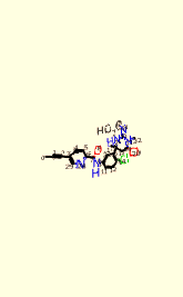 CC#Cc1ccc(C(=O)Nc2ccc(Cl)c(C3(C)CC(=O)N(C)C(=NC(=O)O)N3)c2)nc1